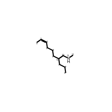 C/C=C\CCCC(CCC)CNC